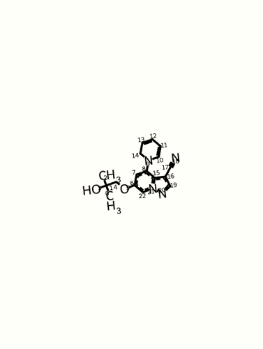 CC(C)(O)COc1cc(N2C=CC=CC2)c2c(C#N)cnn2c1